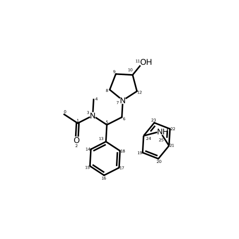 CC(=O)N(C)C(CN1CCC(O)C1)c1ccccc1.c1cc2ccc1[nH]2